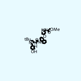 COCC(=O)Nc1cc(Oc2ccc(NC(=O)Nc3cc(C(C)(C)C)nn3-c3ccc(O)cc3)c3ccccc23)ccn1